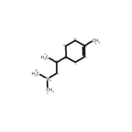 CC1=CCC(C(C)C[Si](C)C)CC1